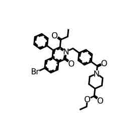 CCOC(=O)C1CCN(C(=O)c2ccc(Cn3c(C(=O)CC)c(-c4ccccc4)c4cc(Br)ccc4c3=O)cc2)CC1